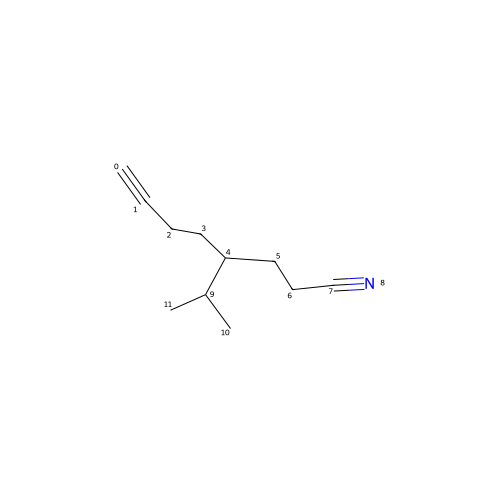 C#CCCC(CCC#N)C(C)C